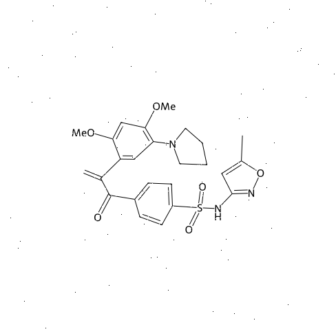 C=C(C(=O)c1ccc(S(=O)(=O)Nc2cc(C)on2)cc1)c1cc(N2CCCC2)c(OC)cc1OC